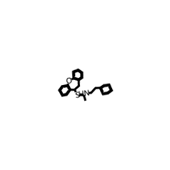 CC(NCCc1ccccc1)SC1Cc2ccccc2Oc2ccccc21